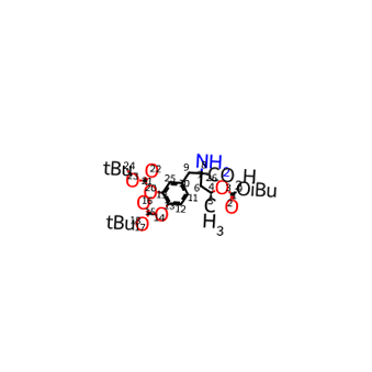 CC(C)COC(=O)O[C@@H](C)CC(N)(Cc1ccc(OC(=O)OC(C)(C)C)c(OC(=O)OC(C)(C)C)c1)C(=O)O